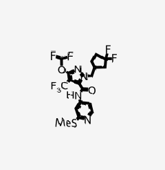 CSc1cc(NC(=O)c2c(C(F)(F)F)c(OC(F)F)nn2CC2CCC(F)(F)C2)ccn1